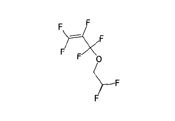 FC(F)=C(F)C(F)(F)OCC(F)F